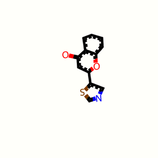 O=c1cc(-c2cncs2)oc2ccccc12